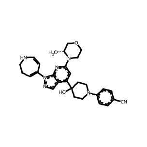 C[C@@H]1COCCN1c1cc(C2(O)CCN(c3ccc(C#N)cc3)CC2)c2cnn(C3=CCCNC=C3)c2n1